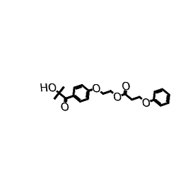 CC(C)(O)C(=O)c1ccc(OCCOC(=O)CCOc2ccccc2)cc1